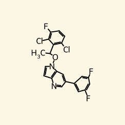 CC(On1ccc2ncc(-c3cc(F)cc(F)c3)cc21)c1c(Cl)ccc(F)c1Cl